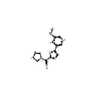 CCOc1cncc(-c2cnc(C(=O)N3CCCC3)s2)n1